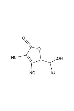 CCC(O)C1OC(=O)C(C#N)=C1N=O